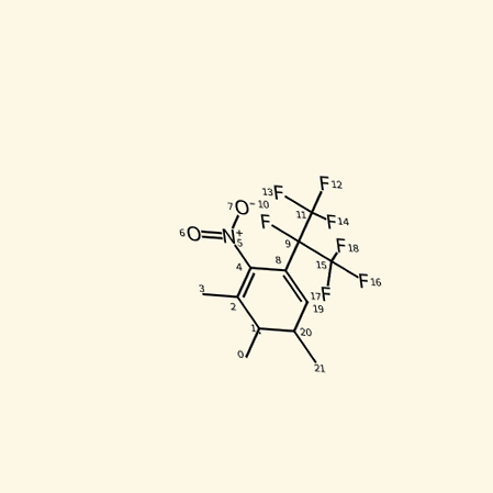 C[C]1C(C)=C([N+](=O)[O-])C(C(F)(C(F)(F)F)C(F)(F)F)=CC1C